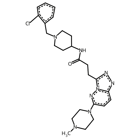 CN1CCN(c2ccc3nnc(CCC(=O)NC4CCN(Cc5ccccc5Cl)CC4)n3n2)CC1